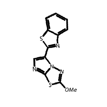 COc1nn2c(-c3nc4ccccc4s3)cnc2s1